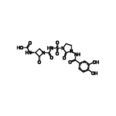 O=C(O)N[C@H]1CN(C(=O)NS(=O)(=O)N2CCN(NC(=O)c3ccc(O)c(O)c3)C2=O)C1=O